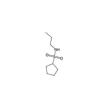 [CH2]CCNS(=O)(=O)C1CCCC1